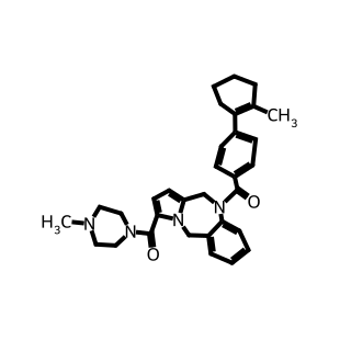 CC1=C(c2ccc(C(=O)N3Cc4ccc(C(=O)N5CCN(C)CC5)n4Cc4ccccc43)cc2)CCCC1